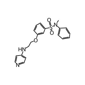 CN(c1ccccc1)S(=O)(=O)c1cccc(OCCNc2ccncc2)c1